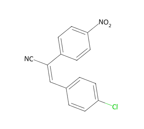 N#CC(=Cc1ccc(Cl)cc1)c1ccc([N+](=O)[O-])cc1